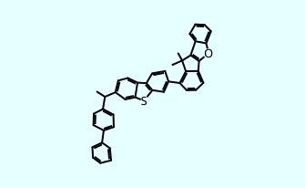 CC(c1ccc(-c2ccccc2)cc1)c1ccc2c(c1)sc1cc(-c3cccc4c3C(C)(C)c3c-4oc4ccccc34)ccc12